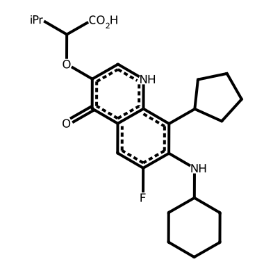 CC(C)C(Oc1c[nH]c2c(C3CCCC3)c(NC3CCCCC3)c(F)cc2c1=O)C(=O)O